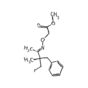 COC(=O)CON=C(C)C(C)(CI)Cc1ccccc1